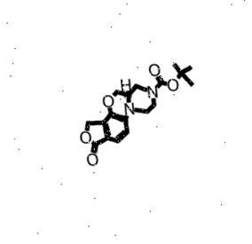 CC(C)(C)OC(=O)N1CCN2c3ccc4c(c3OC[C@@H]2C1)COC4=O